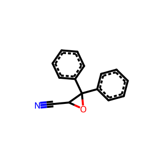 N#CC1OC1(c1ccccc1)c1ccccc1